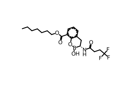 CCCCCCCOC(=O)c1cccc2c1OB(O)[C@@H](NC(=O)CCC(F)(F)F)C2